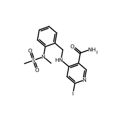 CN(c1ccccc1CNc1cc(I)ncc1C(N)=O)S(C)(=O)=O